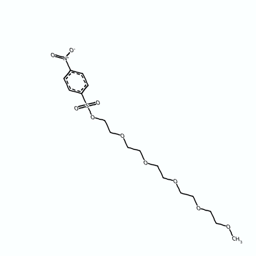 COCCOCCOCCOCCOCCOS(=O)(=O)c1ccc([N+](=O)[O-])cc1